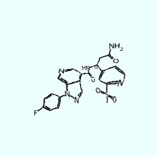 CS(=O)(=O)c1cc([C@H](CC(N)=O)NC(=O)c2cncc3c2cnn3-c2ccc(F)cc2)ccn1